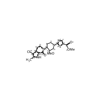 COC(=O)c1cnc(N2CCC(n3ccc4c(Cl)c(C)[nH]c4c3=O)C(OC)C2)s1